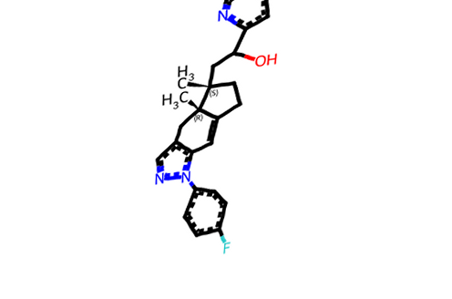 C[C@@]1(CC(O)c2ccccn2)CCC2=Cc3c(cnn3-c3ccc(F)cc3)C[C@@]21C